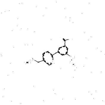 [N-]=[N+]=NCc1ccc(-c2cc(NN=N)cc(C(=O)O)c2)nc1